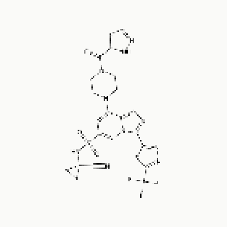 N#CC1(NS(=O)(=O)c2cc(N3CCN(C(=O)c4ccn[nH]4)CC3)c3cnc(-c4nnc(C(F)(F)F)s4)n3c2)CC1